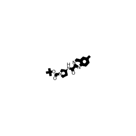 Cc1ccc2nc(C(=O)N[C@H]3CCN(C(=O)OC(C)(C)C)C3)ncc2c1